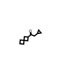 O=C(CC1CC1)C1CC2(CCC2)C1